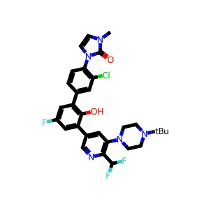 Cn1ccn(-c2ccc(-c3cc(F)cc(-c4cnc(C(F)F)c(N5CCN(C(C)(C)C)CC5)c4)c3O)cc2Cl)c1=O